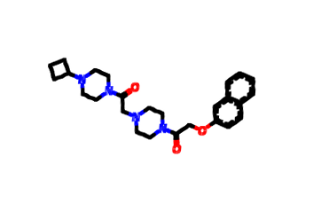 O=C(COc1ccc2ccccc2c1)N1CCN(CC(=O)N2CCN(C3CCC3)CC2)CC1